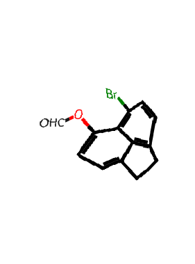 O=COc1ccc2c3c(ccc(Br)c13)CC2